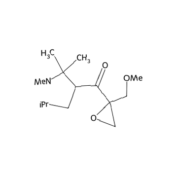 CNC(C)(C)C(CC(C)C)C(=O)C1(COC)CO1